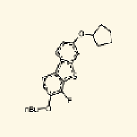 CCCCOc1ccc2c(sc3cc(OC4CCCC4)ccc32)c1F